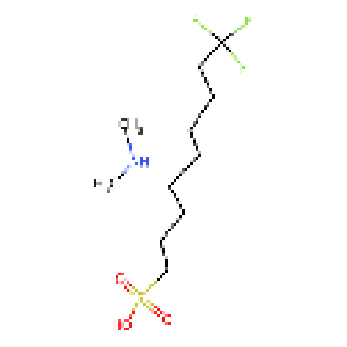 CNC.O=S(=O)(O)CCCCCCCCC(F)(F)F